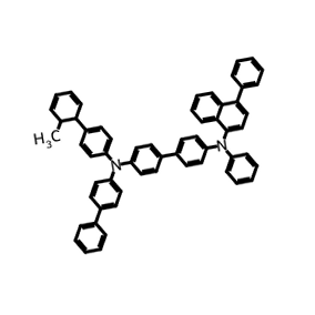 CC1C=CC=CC1c1ccc(N(c2ccc(-c3ccccc3)cc2)c2ccc(-c3ccc(N(c4ccccc4)c4ccc(-c5ccccc5)c5ccccc45)cc3)cc2)cc1